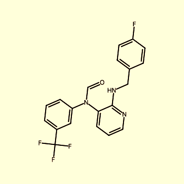 O=CN(c1cccc(C(F)(F)F)c1)c1cccnc1NCc1ccc(F)cc1